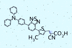 Cc1cc(/C=C(\C#N)C(=O)O)sc1-c1ccc(-c2ccc(N(c3ccccc3)c3ccccc3)cc2)c2nsnc12